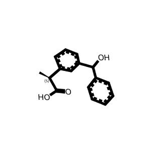 C[C@H](C(=O)O)c1cccc(C(O)c2ccccc2)c1